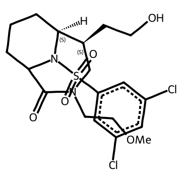 COCCN1C[C@H](CCO)[C@@H]2CCCC(C1=O)N2S(=O)(=O)c1cc(Cl)cc(Cl)c1